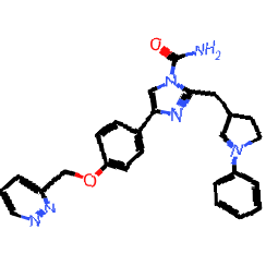 NC(=O)n1cc(-c2ccc(OCc3cccnn3)cc2)nc1CC1CCN(c2ccccc2)C1